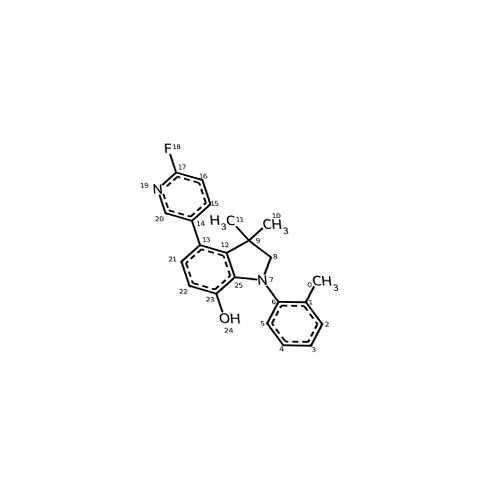 Cc1ccccc1N1CC(C)(C)c2c(-c3ccc(F)nc3)ccc(O)c21